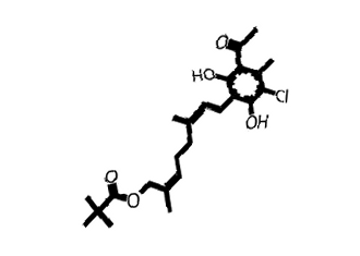 CC(=O)c1c(C)c(Cl)c(O)c(CC=C(C)CCC=C(C)COC(=O)C(C)(C)C)c1O